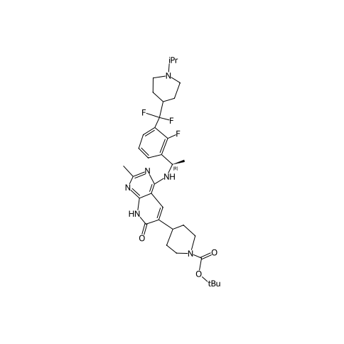 Cc1nc(N[C@H](C)c2cccc(C(F)(F)C3CCN(C(C)C)CC3)c2F)c2cc(C3CCN(C(=O)OC(C)(C)C)CC3)c(=O)[nH]c2n1